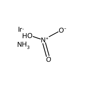 N.O=[N+]([O-])O.[Ir]